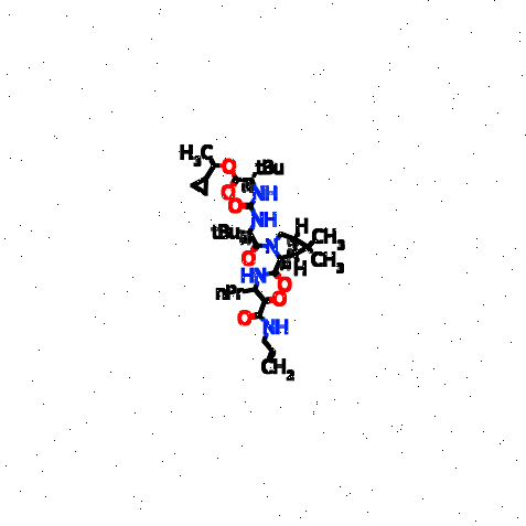 C=CCNC(=O)C(=O)C(CCC)NC(=O)[C@@H]1[C@@H]2[C@H](CN1C(=O)[C@@H](NC(=O)N[C@H](C(=O)OC(C)C1CC1)C(C)(C)C)C(C)(C)C)C2(C)C